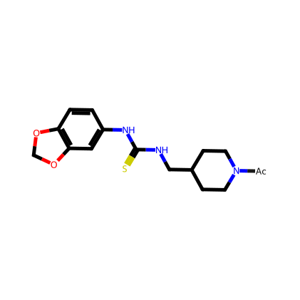 CC(=O)N1CCC(CNC(=S)Nc2ccc3c(c2)OCO3)CC1